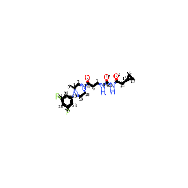 C[C@H]1CN(C(=O)CCNC(=O)NC(=O)CC2CC2)CCN1c1cc(F)cc(F)c1